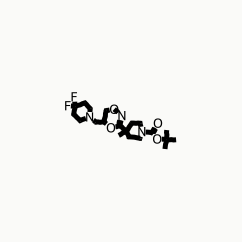 CC(C)(C)OC(=O)N1CCC(C)(C2=NOCC(CN3CCC(F)(F)CC3)O2)CC1